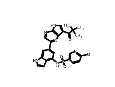 CC(C)(C)C(=O)c1c[nH]c2ncc(-c3cc(NS(=O)(=O)c4ccc(Cl)nc4)c4cc[nH]c4c3)nc12